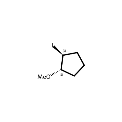 CO[C@H]1CCC[C@@H]1I